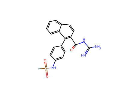 CS(=O)(=O)Nc1ccc(-c2c(C(=O)NC(=N)N)ccc3ccccc23)cc1